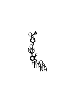 CN(C)C(=N)NC(=O)NCc1cccc(-c2cnc(OCC3CCN(C(=O)C4CC4)CC3)nc2)c1F